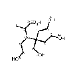 CC(N(CCO)C(CO)(CCO)CCO)S(=O)(=O)O